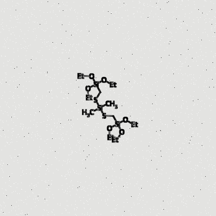 CCO[Si](CS[Si](C)(C)SC[Si](OCC)(OCC)OCC)(OCC)OCC